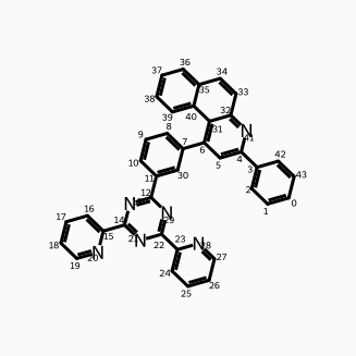 c1ccc(-c2cc(-c3cccc(-c4nc(-c5ccccn5)nc(-c5ccccn5)n4)c3)c3c(ccc4ccccc43)n2)cc1